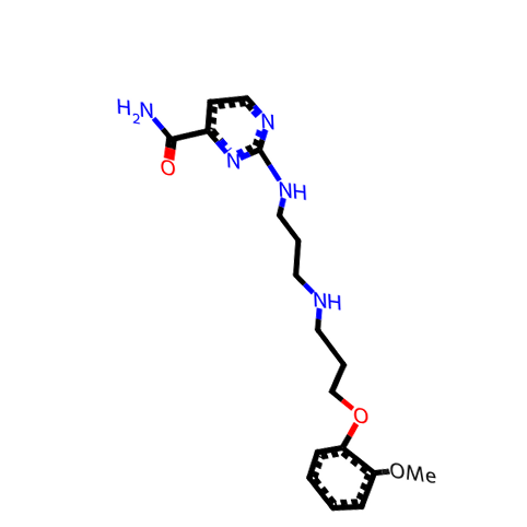 COc1ccccc1OCCCNCCCNc1nccc(C(N)=O)n1